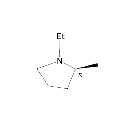 [CH2]CN1CCC[C@@H]1C